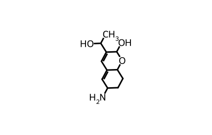 CC(O)C1=CC2=CC(N)CCC2OC1O